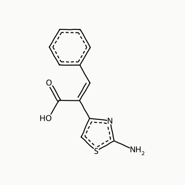 Nc1nc(C(=Cc2ccccc2)C(=O)O)cs1